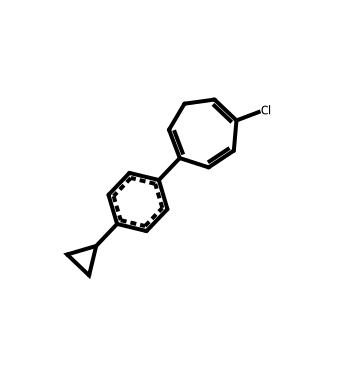 ClC1=CCC=C(c2ccc(C3CC3)cc2)C=C1